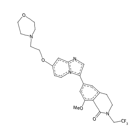 COc1cc(-c2cnc3cc(OCCN4CCOCC4)ccn23)cc2c1C(=O)N(CC(F)(F)F)CC2